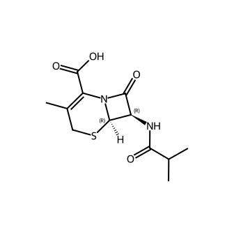 CC1=C(C(=O)O)N2C(=O)[C@@H](NC(=O)C(C)C)[C@H]2SC1